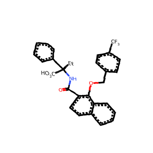 CCC(NC(=O)c1ccc2ccccc2c1OCc1ccc(C(F)(F)F)cc1)(C(=O)O)c1ccccc1